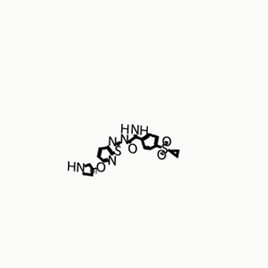 N=C(C(=O)Nc1nc2ccc(O[C@H]3CCNC3)nc2s1)c1ccc(S(=O)(=O)C2CC2)cc1